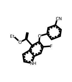 C=C(OCC)c1c(Oc2cccc(C#N)c2)c(F)cc2[nH]ccc12